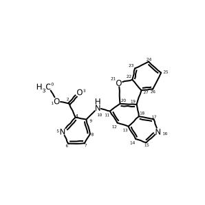 COC(=O)c1ncccc1Nc1cc2ccncc2c2c1oc1ccccc12